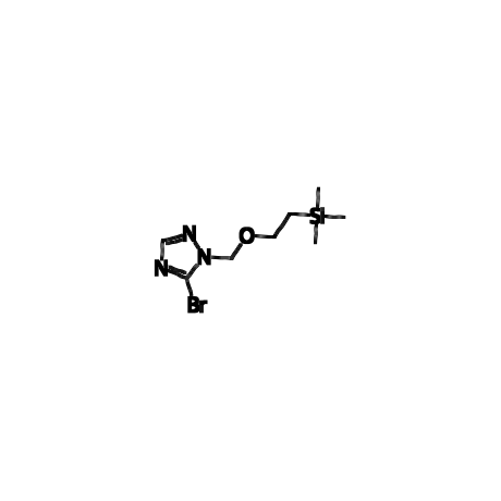 C[Si](C)(C)CCOCn1ncnc1Br